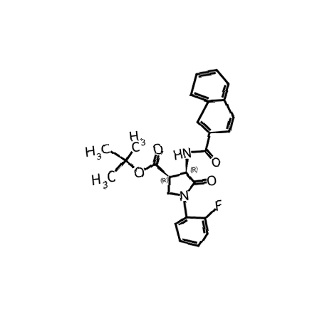 CC(C)(C)OC(=O)[C@@H]1CN(c2ccccc2F)C(=O)[C@@H]1NC(=O)c1ccc2ccccc2c1